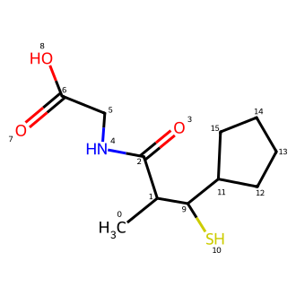 CC(C(=O)NCC(=O)O)C(S)C1CCCC1